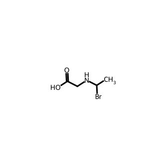 CC(Br)NCC(=O)O